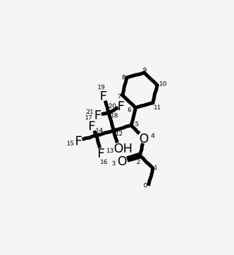 CCC(=O)OC(C1CCCCC1)C(O)(C(F)(F)F)C(F)(F)F